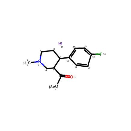 COC(=O)C1CN(C)CCC1c1ccc(F)cc1.I